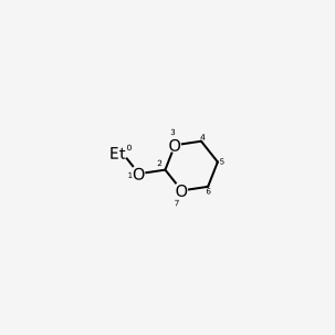 [CH2]COC1OCCCO1